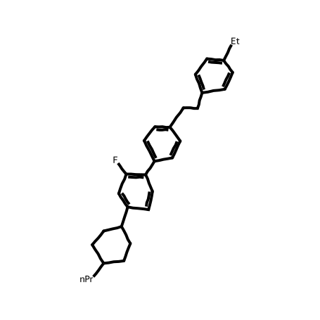 CCCC1CCC(c2ccc(-c3ccc(CCc4ccc(CC)cc4)cc3)c(F)c2)CC1